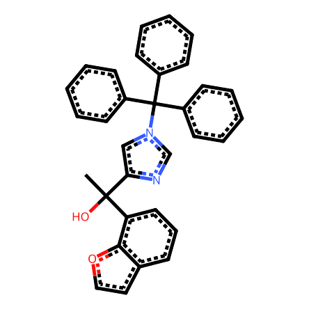 CC(O)(c1cn(C(c2ccccc2)(c2ccccc2)c2ccccc2)cn1)c1cccc2ccoc12